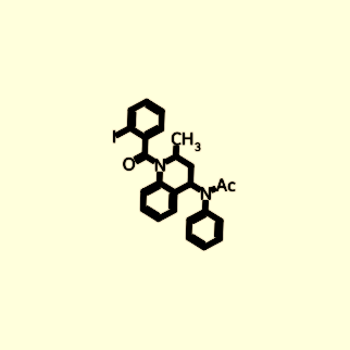 CC(=O)N(c1ccccc1)C1CC(C)N(C(=O)c2ccccc2I)c2ccccc21